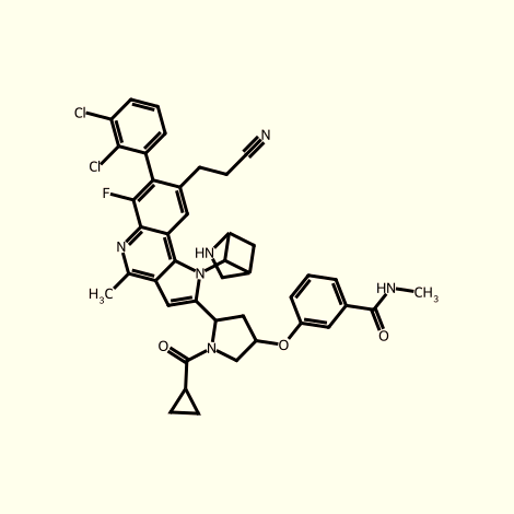 CNC(=O)c1cccc(OC2CC(c3cc4c(C)nc5c(F)c(-c6cccc(Cl)c6Cl)c(CCC#N)cc5c4n3C3C4CNC3C4)N(C(=O)C3CC3)C2)c1